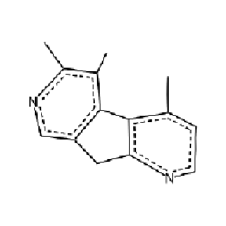 Cc1ccnc2c1-c1c(cnc(C)c1C)C2